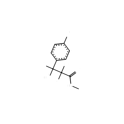 CC(C)NC(=O)C(C)(C)C(C)(O)c1ccc(Cl)cc1